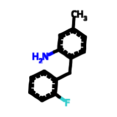 Cc1ccc(Cc2ccccc2F)c(N)c1